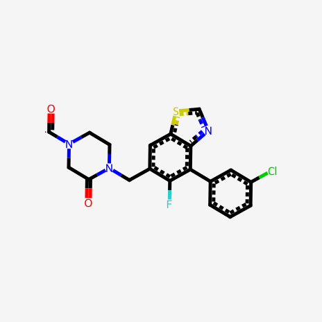 O=[C]N1CCN(Cc2cc3scnc3c(-c3cccc(Cl)c3)c2F)C(=O)C1